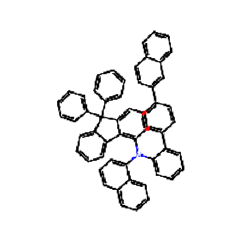 c1ccc(C2(c3ccccc3)c3ccccc3-c3c(N(c4ccccc4-c4ccc(-c5ccc6ccccc6c5)cc4)c4cccc5ccccc45)cccc32)cc1